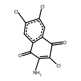 NC1=C(Cl)C(=O)c2cc(Cl)c(Cl)cc2C1=O